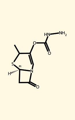 CC1S[C@@H]2CC(=O)N2C=C1OC(=O)NN